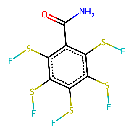 NC(=O)c1c(SF)c(SF)c(SF)c(SF)c1SF